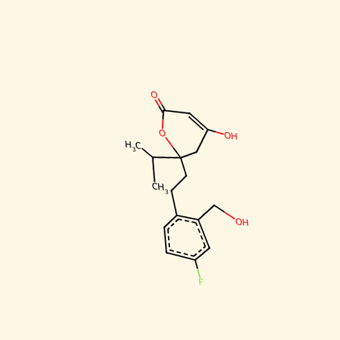 CC(C)C1(CCc2ccc(F)cc2CO)CC(O)=CC(=O)O1